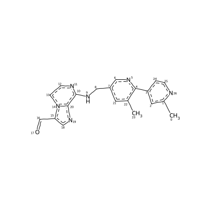 Cc1cc(-c2ncc(CNc3nccn4c(C=O)cnc34)cc2C)ccn1